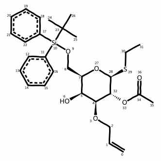 C=CCO[C@H]1[C@@H](O)[C@@H](CO[Si](c2ccccc2)(c2ccccc2)C(C)(C)C)O[C@@H](SCC)[C@@H]1OC(C)=O